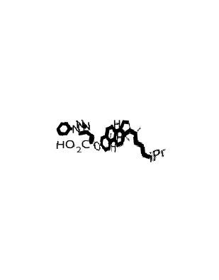 CC(C)CCC[C@@H](C)[C@H]1CC[C@H]2[C@@H]3CC=C4C[C@@H](OC(=Cc5cn(C6CCCCC6)nn5)C(=O)O)CC[C@]4(C)[C@H]3CC[C@]12C